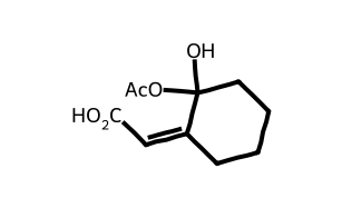 CC(=O)OC1(O)CCCCC1=CC(=O)O